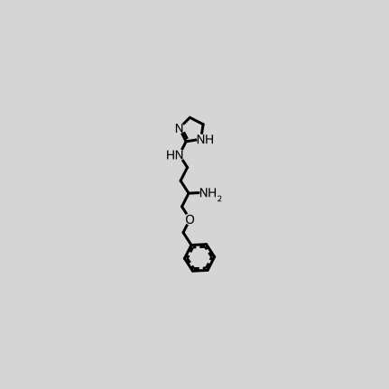 NC(CCNC1=NCCN1)COCc1ccccc1